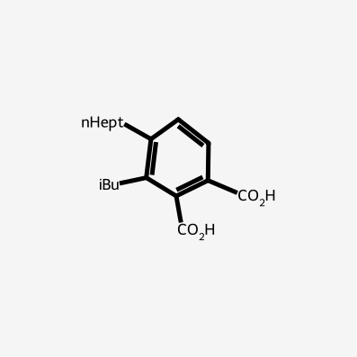 CCCCCCCc1ccc(C(=O)O)c(C(=O)O)c1C(C)CC